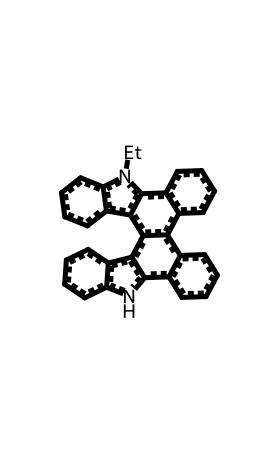 CCn1c2ccccc2c2c3c(c4ccccc4c4[nH]c5ccccc5c43)c3ccccc3c21